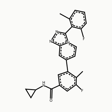 Cc1cccc(F)c1-c1nnc2cc(-c3cc(C(=O)NC4CC4)cc(F)c3C)ccn12